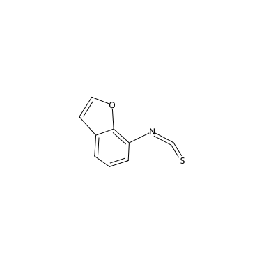 S=C=Nc1cccc2ccoc12